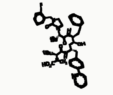 CN(C(=O)O)[C@H](C(=O)N[C@@H](Cc1ccc(-c2ccccn2)cc1)C[C@H](O)[C@H](Cc1ccccc1)NC(=O)[C@@H](N1CCN(Cc2ccccc2F)C1=O)C(C)(C)C)C(C)(C)C